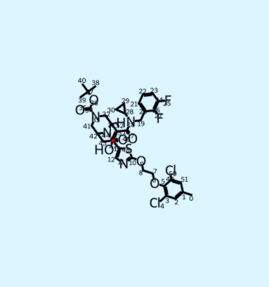 Cc1cc(Cl)c(OCCOc2ncc(C3=C(C(=O)N(Cc4cccc(F)c4F)C4CC4)[C@H]4CN(C(=O)OC(C)(C)C)CC(C3)N4C(=O)O)s2)c(Cl)c1